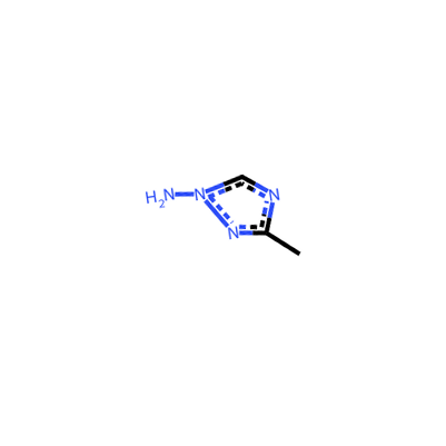 Cc1ncn(N)n1